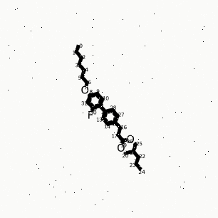 CCCCCCCOc1ccc(-c2ccc(CCC3OCC(CCC)CO3)cc2)c(F)c1